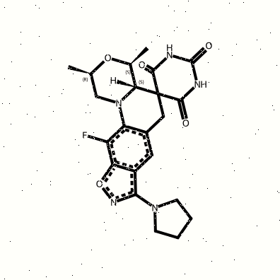 C[C@@H]1CN2c3c(cc4c(N5CCCC5)noc4c3F)CC3(C(=O)NC(=O)NC3=O)[C@H]2[C@H](C)O1